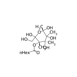 CCCCCCC(=O)O[C@]1(C)C(O)(CO)O[C@](C)(O)C(C)(O)[C@@]1(C)O